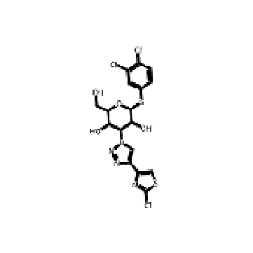 OCC1OC(Sc2ccc(Cl)c(Cl)c2)C(O)C(n2cc(-c3csc(Cl)n3)nn2)C1O